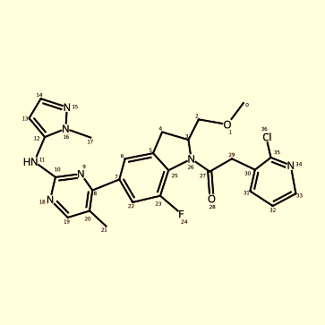 COCC1Cc2cc(-c3nc(Nc4ccnn4C)ncc3C)cc(F)c2N1C(=O)Cc1cccnc1Cl